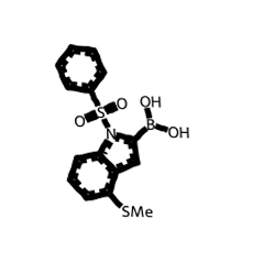 CSc1cccc2c1cc(B(O)O)n2S(=O)(=O)c1ccccc1